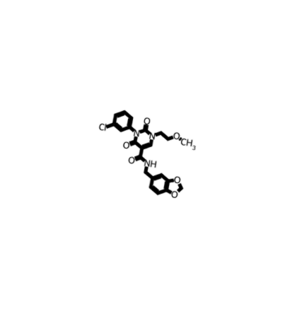 COCCn1cc(C(=O)NCc2ccc3c(c2)OCO3)c(=O)n(-c2cccc(Cl)c2)c1=O